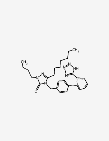 CCCCCCCc1nn(CCCC)c(=O)n1Cc1ccc(-c2ccccc2-c2nnn[nH]2)cc1